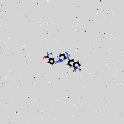 Cn1ccc2cc(-n3nnc4cnc(N[C@@H]5CC[C@@H](C(N)=O)C5)nc43)ccc2c1=O